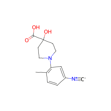 [C-]#[N+]c1ccc(C)c(N2CCC(O)(C(=O)O)CC2)c1